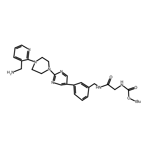 CC(C)(C)OC(=O)NCC(=O)NCc1cccc(-c2cnc(N3CCN(c4ncccc4CN)CC3)nc2)c1